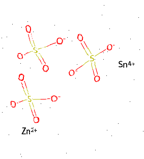 O=S(=O)([O-])[O-].O=S(=O)([O-])[O-].O=S(=O)([O-])[O-].[Sn+4].[Zn+2]